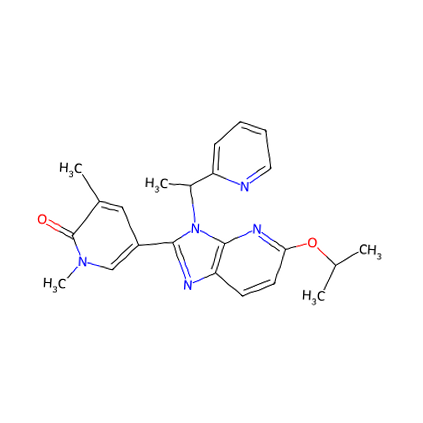 Cc1cc(-c2nc3ccc(OC(C)C)nc3n2C(C)c2ccccn2)cn(C)c1=O